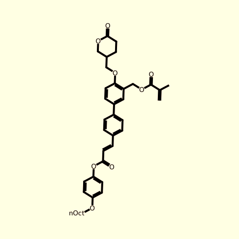 C=C(C)C(=O)OCc1cc(-c2ccc(/C=C/C(=O)Oc3ccc(OCCCCCCCC)cc3)cc2)ccc1OCC1CCC(=O)OC1